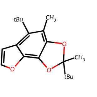 Cc1c2c(c3occc3c1C(C)(C)C)OC(C)(C(C)(C)C)O2